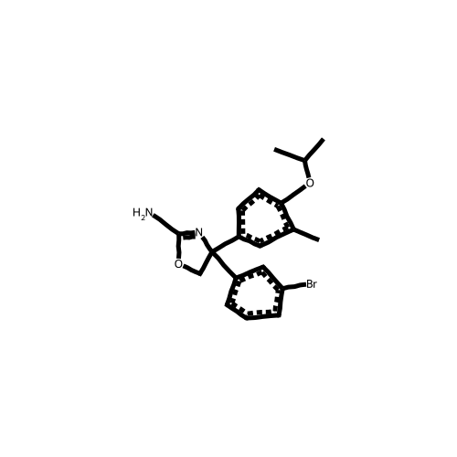 Cc1cc(C2(c3cccc(Br)c3)COC(N)=N2)ccc1OC(C)C